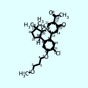 COCCCOc1cc2c(cc1Cl)-c1cc(=O)c(C(C)=O)cn1[C@@H]1[C@H]2CCC1(C)C